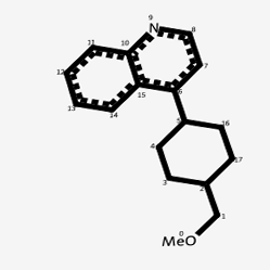 COCC1CCC(c2ccnc3ccccc23)CC1